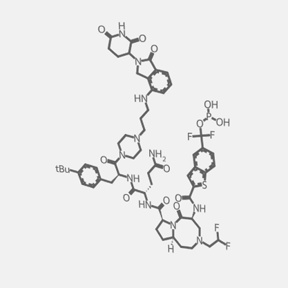 CC(C)(C)c1ccc(C[C@H](NC(=O)[C@H](CCC(N)=O)NC(=O)[C@@H]2CC[C@@H]3CCN(CC(F)F)C[C@H](NC(=O)c4cc5cc(C(F)(F)OP(O)O)ccc5s4)C(=O)N32)C(=O)N2CCN(CCCNc3cccc4c3CN(C3CCC(=O)NC3=O)C4=O)CC2)cc1